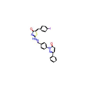 O=C1N=C(NN=Cc2ccc(-n3nc(-c4ccccc4)ccc3=O)cc2)SC1=Cc1ccc(I)cc1